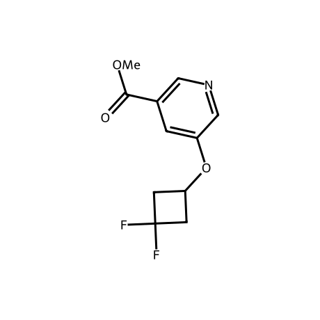 COC(=O)c1cncc(OC2CC(F)(F)C2)c1